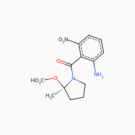 C[C@@]1(OC(=O)O)CCCN1C(=O)c1c(N)cccc1[N+](=O)[O-]